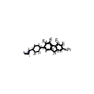 C/C=C/C1CCC(c2cc3c(c(F)c2F)-c2c(cc(CCC)c(F)c2F)C3)CC1